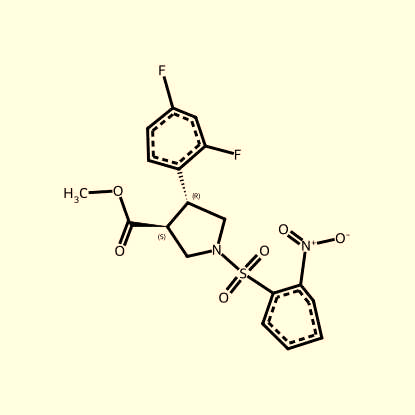 COC(=O)[C@@H]1CN(S(=O)(=O)c2ccccc2[N+](=O)[O-])C[C@H]1c1ccc(F)cc1F